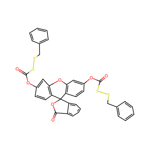 O=C(Oc1ccc2c(c1)Oc1cc(OC(=O)SSCc3ccccc3)ccc1C21OC(=O)c2ccccc21)SSCc1ccccc1